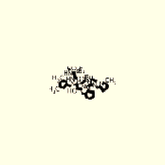 CC[C@H](C)[C@@H](C(=O)N[C@@H](Cc1ccccc1)[C@@H](O)CN(Cc1cc(C)cc(C)c1)NC(=O)[C@@H](NC(=O)O)C(C)(C)C)N1CCN(Cc2cccc(C)n2)C1=O